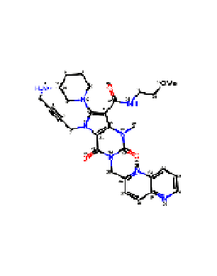 CC#CCn1c(N2CCC[C@@H](N)C2)c(C(=O)NCCOC)c2c1c(=O)n(Cc1ccc3ncccc3n1)c(=O)n2C